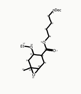 CCCCCCCCCCCCCCOC(=O)C1CC2OC2(C)CC1OCC